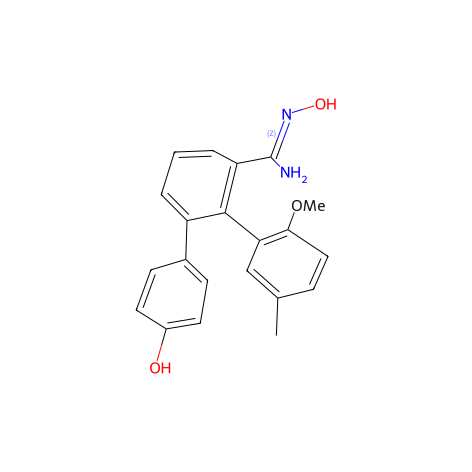 COc1ccc(C)cc1-c1c(/C(N)=N/O)cccc1-c1ccc(O)cc1